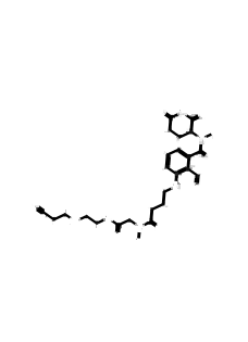 CN(CC(=O)NCCOCCC#N)C(=O)CCCNc1cccc(C(=O)N(C)C2CCC(=O)NC2=O)c1C=O